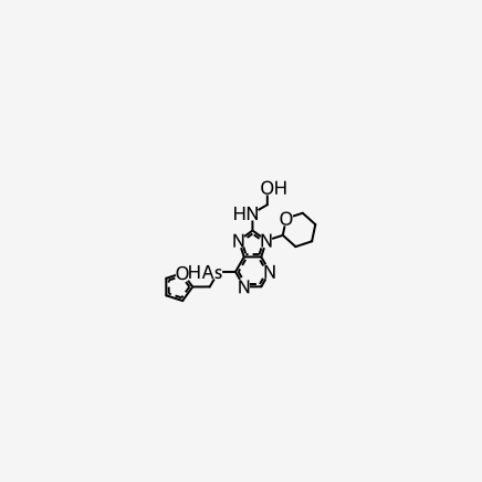 OCNc1nc2c([AsH]Cc3ccco3)ncnc2n1C1CCCCO1